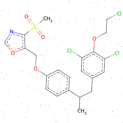 CC(Cc1cc(Cl)c(OCCCl)c(Cl)c1)c1ccc(OCc2ocnc2S(C)(=O)=O)cc1